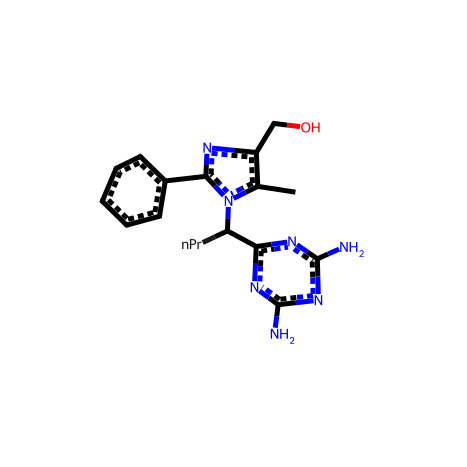 CCCC(c1nc(N)nc(N)n1)n1c(-c2ccccc2)nc(CO)c1C